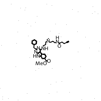 C#CCCC(=O)NCCCN(C)CCCNc1nc(Cc2ccccc2)nc2[nH]c3cc(C(=O)OC)ccc3c12